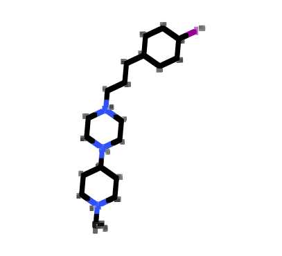 CN1CCC(N2CCN(CCCC3CCC(I)CC3)CC2)CC1